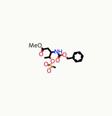 COC(=O)CC(NC(=O)OCc1ccccc1)C(C)OS(C)(=O)=O